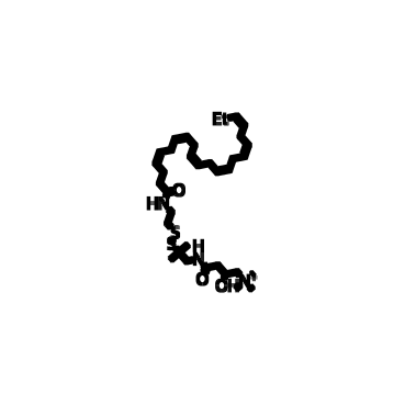 CC/C=C\C/C=C\C/C=C\C/C=C\C/C=C\C/C=C\CCC(=O)NCCSSC(C)(C)CNC(=O)CC(O)C[N+](C)(C)C